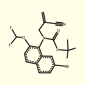 C=C(C#N)CN(C(=O)OC(C)(C)C)c1c(OC(F)F)ccc2ccc(Br)cc12